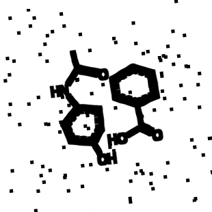 CC(=O)Nc1ccc(O)cc1.O=C(O)c1ccccc1